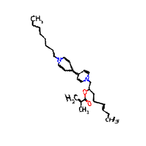 C=C(C)C(=O)OC(CCCCCC)CN1C=CC(=C2C=CN(CCCCCCCC)C=C2)C=C1